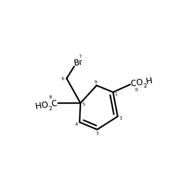 O=C(O)C1=CC=CC(CBr)(C(=O)O)C1